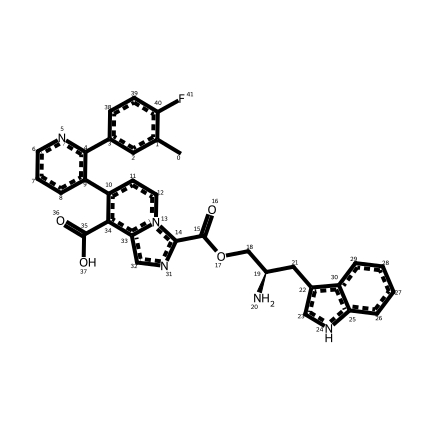 Cc1cc(-c2ncccc2-c2ccn3c(C(=O)OC[C@H](N)Cc4c[nH]c5ccccc45)ncc3c2C(=O)O)ccc1F